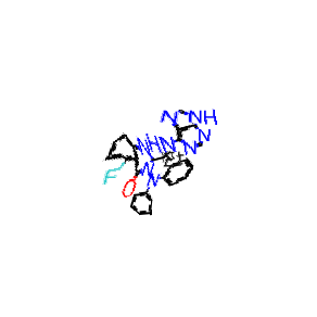 CC[C@H](Nc1ncnc2[nH]cnc12)c1nc2cccc(F)c2c(=O)n1N(c1ccccc1)c1ccccc1